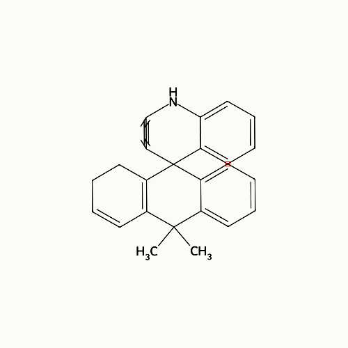 CC1(C)C2=C(CCC=C2)C2(c3ccccc3Nc3ccccc32)c2ccccc21